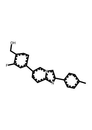 Cc1ccc(-c2cn3cc(-c4ccc(CO)c(F)c4)ccc3n2)cc1